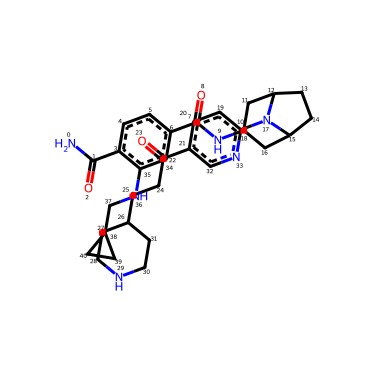 NC(=O)c1ccc(C(=O)NC2CC3CCC(C2)N3c2ccc(C(=O)CCC3CCNCC3)cn2)cc1NCC1CC1